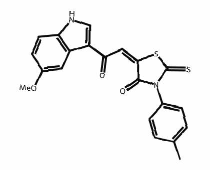 COc1ccc2[nH]cc(C(=O)/C=C3/SC(=S)N(c4ccc(C)cc4)C3=O)c2c1